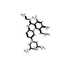 C=C/N=C(\N=C1\C=CC(N2CC(C)NC(C)C2)=CC1)C1=C/C(=C/NC)C(=N)C=C1C